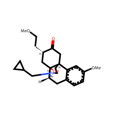 COCC[C@H]1C[C@@]2(O)[C@H]3Cc4ccc(OC)cc4[C@@]2(CCN3CC2CC2)CC1=O